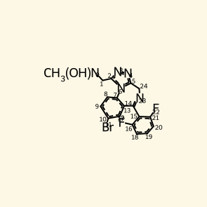 CN(O)Cc1nnc2n1-c1ccc(Br)cc1C(c1c(F)cccc1F)=NC2